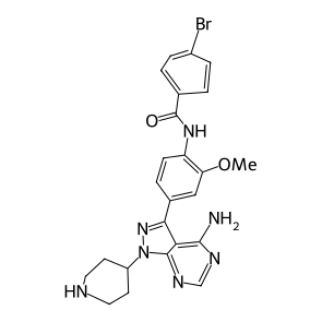 COc1cc(-c2nn(C3CCNCC3)c3ncnc(N)c23)ccc1NC(=O)c1ccc(Br)cc1